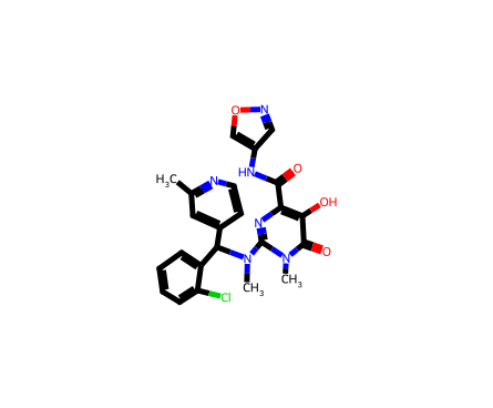 Cc1cc(C(c2ccccc2Cl)N(C)c2nc(C(=O)Nc3cnoc3)c(O)c(=O)n2C)ccn1